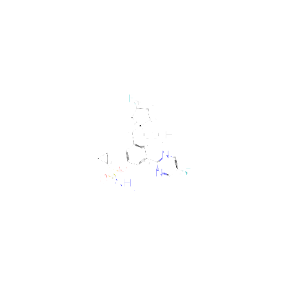 NS(=O)(=O)C1CC1.O=C(O)C1(Cc2cccc(-c3ncc(F)cn3)c2)CCC(F)C1